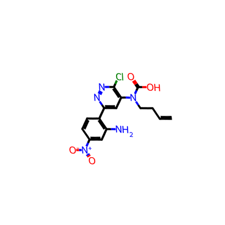 C=CCCN(C(=O)O)c1cc(-c2ccc([N+](=O)[O-])cc2N)nnc1Cl